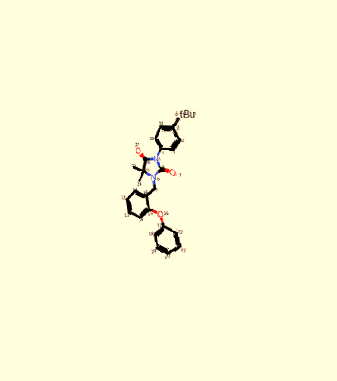 CC(C)(C)c1ccc(N2C(=O)N(Cc3ccccc3Oc3ccccc3)C(C)(C)C2=O)cc1